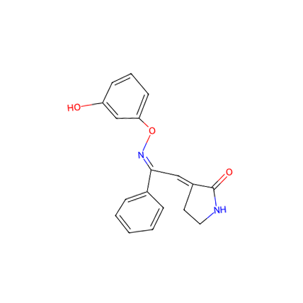 O=C1NCC/C1=C\C(=N/Oc1cccc(O)c1)c1ccccc1